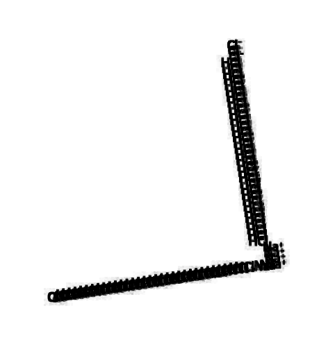 Cl.Cl.Cl.Cl.Cl.Cl.Cl.Cl.Cl.Cl.Cl.Cl.Cl.Cl.Cl.Cl.Cl.Cl.Cl.Cl.Cl.Cl.Cl.Cl.Cl.Cl.Cl.Cl.Cl.Cl.Cl.Cl.Cl.Cl.Cl.Cl.Cl.Cl.Cl.Cl.Cl.Cl.Cl.Cl.Cl.Cl.Cl.Cl.Cl.Cl.Cl.Cl.Cl.Cl.Cl.Cl.Cl.Cl.Cl.Cl.Cl.Cl.Cl.Cl.[Cl-].[Cl-].[Cl-].[Cl-].[Cl-].[Cl-].[Na+].[Na+].[Na+].[Na+].[Na+].[Na+]